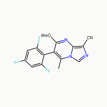 COc1nc2c(C#N)ncn2c(C)c1-c1c(F)cc(F)cc1F